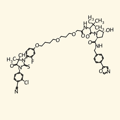 CC(C)(C)[C@H](NC(=O)COCCCOCCCCOc1ccc(N2C(=S)N(c3ccc(C#N)c(Cl)c3)C(=O)C2(C)C)c(F)c1)C(=O)N1C[C@H](O)C[C@H]1C(=O)NCc1ccc(-c2cnco2)cc1